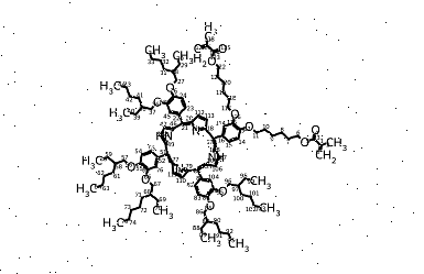 C=C(C)C(=O)OCCCCCCOc1ccc(-c2c3nc(c(-c4ccc(OCC(CC)CCCC)c(OCC(CC)CCCC)c4)c4ccc([nH]4)c(-c4ccc(OCC(CC)CCCC)c(OCC(CC)CCCCC)c4)c4nc(c(-c5ccc(OCC(CC)CCCC)c(OCC(CC)CCCC)c5)c5ccc2[nH]5)C=C4)C=C3)cc1OCCCCCCOC(=O)C(=C)C